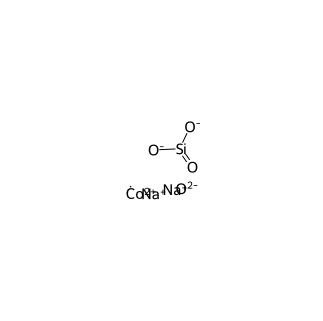 O=[Si]([O-])[O-].[Co+2].[Na+].[Na+].[O-2]